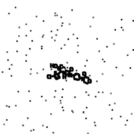 O=C(O)C[C@@H](NC(=O)c1ccc(Cl)s1)C(=O)Nc1ccc(N2CCOCC2=O)cc1